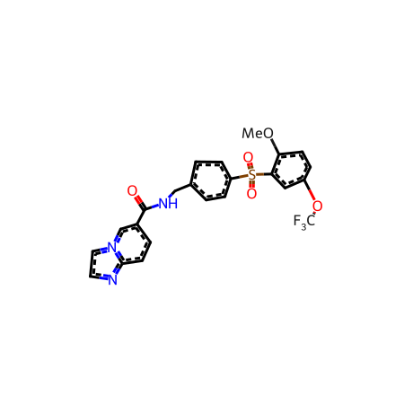 COc1ccc(OC(F)(F)F)cc1S(=O)(=O)c1ccc(CNC(=O)c2ccc3nccn3c2)cc1